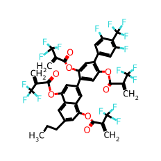 C=C(C(=O)Oc1cc(-c2cc(OC(=O)C(=C)C(F)(F)F)c3cc(CCC)cc(OC(=O)C(=C)C(F)(F)F)c3c2)c(OC(=O)C(=C)C(F)(F)F)cc1-c1cc(F)c(C(F)(F)F)c(F)c1)C(F)(F)F